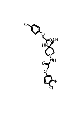 C#CC1(NC(=O)COc2ccc(Cl)cc2)CCN(NC(=O)COc2ccc(Cl)c(F)c2)CC1